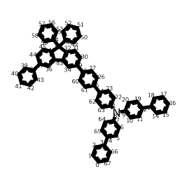 c1ccc(-c2ccc(N(c3ccc(-c4ccccc4)cc3)c3ccc(-c4ccc(-c5ccc6c(c5)-c5cc(-c7ccccc7)ccc5C6(c5ccccc5)c5ccccc5)cc4)cc3)cc2)cc1